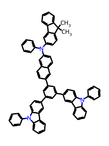 CC1(C)c2ccccc2-c2cc(N(c3ccccc3)c3ccc4cc(-c5cc(-c6ccc7c(c6)c6ccccc6n7-c6ccccc6)cc(-c6ccc7c(c6)c6ccccc6n7-c6ccccc6)c5)ccc4c3)ccc21